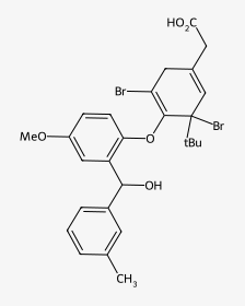 COc1ccc(OC2=C(Br)CC(CC(=O)O)=CC2(Br)C(C)(C)C)c(C(O)c2cccc(C)c2)c1